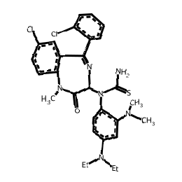 CCN(CC)c1ccc(N(C(N)=S)C2N=C(c3ccccc3Cl)c3cc(Cl)ccc3N(C)C2=O)c(N(C)C)c1